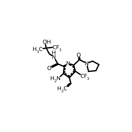 C=Cc1c(N)c(C(=O)NCC(C)(O)C(F)(F)F)nc(C(=O)N2CCCC2)c1C(F)(F)F